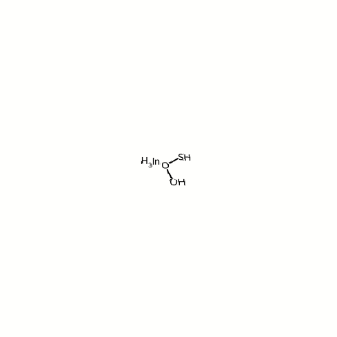 OOS.[InH3]